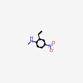 C=Cc1cc([N+](=O)[O-])ccc1NC